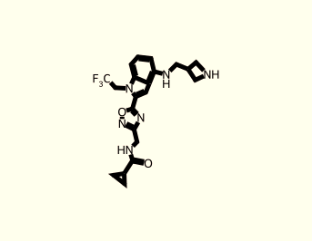 O=C(NCc1noc(-c2cc3c(NCC4CNC4)cccc3n2CC(F)(F)F)n1)C1CC1